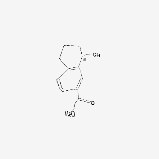 COC(=O)c1ccc2c(c1)[C@@H](O)CCC2